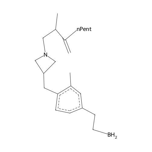 BCCc1ccc(CC2CN(CC(C)C(=C)CCCCC)C2)c(C)c1